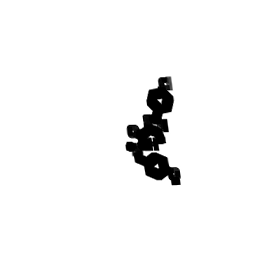 COc1ccc(CN(C)NC(=O)c2sc(-c3ccc(Cl)cc3)nc2C)cc1